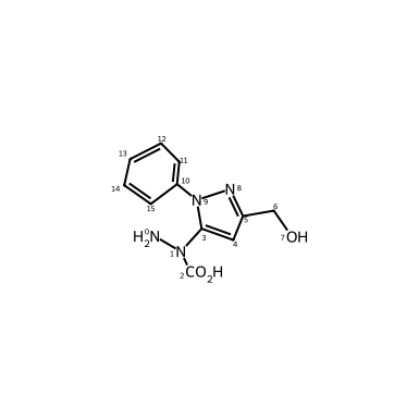 NN(C(=O)O)c1cc(CO)nn1-c1ccccc1